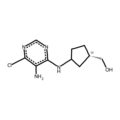 Nc1c(Cl)ncnc1NC1CC[C@H](CO)C1